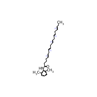 CC/C=C/C/C=C/C/C=C/C/C=C/C/C=C/CCCC(=O)Nc1c(C)cccc1C